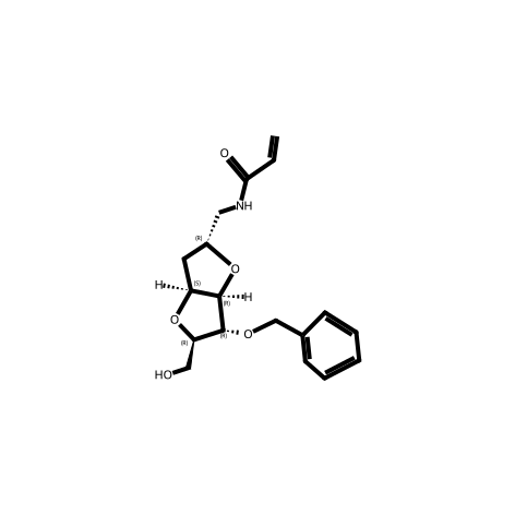 C=CC(=O)NC[C@H]1C[C@@H]2O[C@H](CO)[C@@H](OCc3ccccc3)[C@@H]2O1